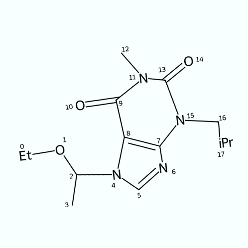 CCOC(C)n1cnc2c1c(=O)n(C)c(=O)n2CC(C)C